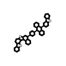 c1ccc2c(c1)oc1ccc(-c3c4ccccc4c(-c4ccc(-c5cc6oc7ccc8c9ccccc9oc8c7c6c6ccccc56)cc4)c4ccccc34)cc12